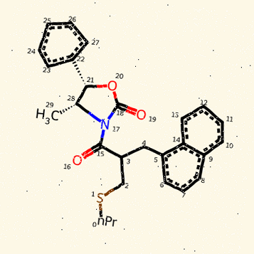 CCCSCC(Cc1cccc2ccccc12)C(=O)N1C(=O)O[C@@H](c2ccccc2)[C@H]1C